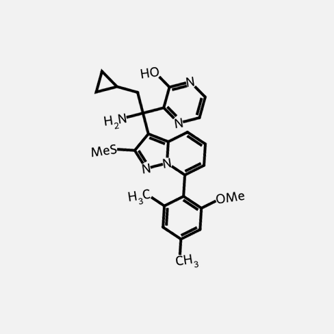 COc1cc(C)cc(C)c1-c1cccc2c(C(N)(CC3CC3)c3nccnc3O)c(SC)nn12